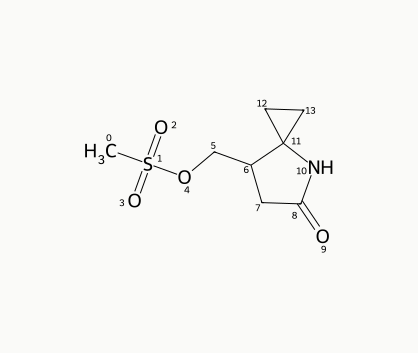 CS(=O)(=O)OCC1CC(=O)NC12CC2